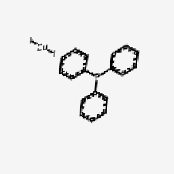 [I][Cu][I].c1ccc(P(c2ccccc2)c2ccccc2)cc1